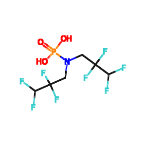 O=P(O)(O)N(CC(F)(F)C(F)F)CC(F)(F)C(F)F